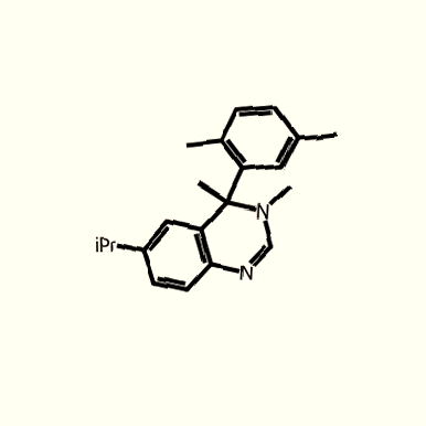 Cc1ccc(C)c(C2(C)c3cc(C(C)C)ccc3N=CN2C)c1